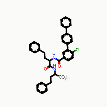 O=C(NC(CCc1ccccc1)C(=O)NC(CCc1ccccc1)C(=O)O)c1ccc(Cl)c(-c2ccc(-c3ccccc3)cc2)c1